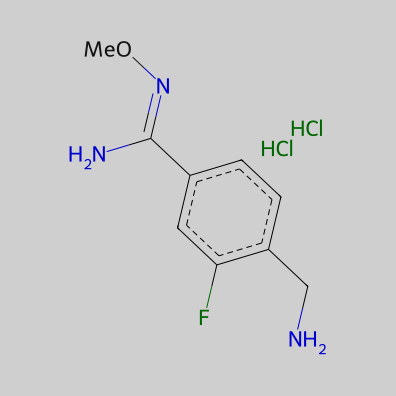 CO/N=C(\N)c1ccc(CN)c(F)c1.Cl.Cl